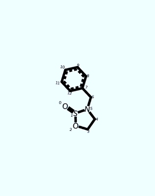 O=S1OCCN1Cc1ccccc1